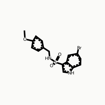 COc1ccc(CNS(=O)(=O)c2c[nH]c3ccc(Br)cc23)cc1